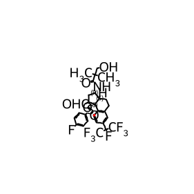 CC(C)(CO)C(=O)N[C@@H]1CC(C=O)[C@]2(S(=O)(=O)c3ccc(F)cc3)c3ccc(C(F)(C(F)(F)F)C(F)(F)F)cc3CC[C@@H]12